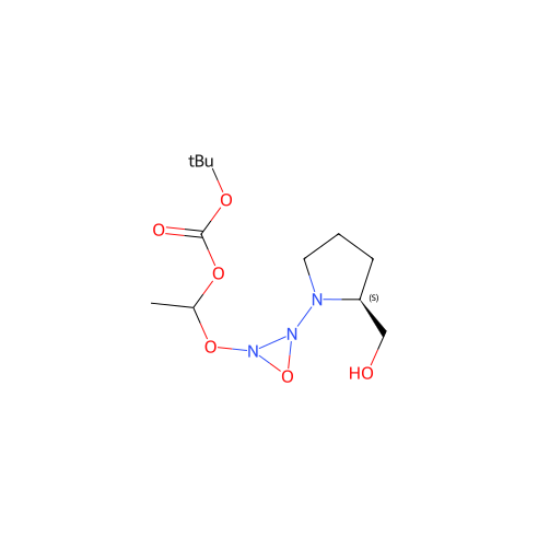 CC(OC(=O)OC(C)(C)C)On1on1N1CCC[C@H]1CO